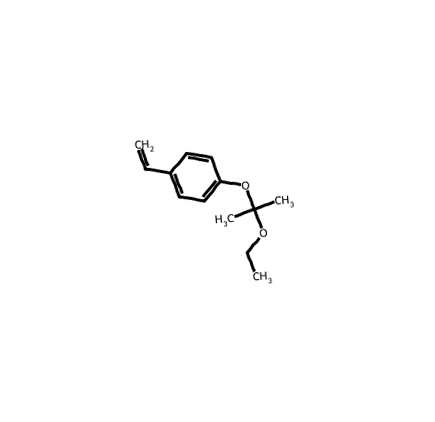 C=Cc1ccc(OC(C)(C)OCC)cc1